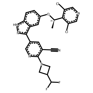 C[C@@H](Oc1ccc2[nH]nc(-c3cnc(N4CC(C(F)F)C4)c(C#N)c3)c2c1)c1c(Cl)cncc1Cl